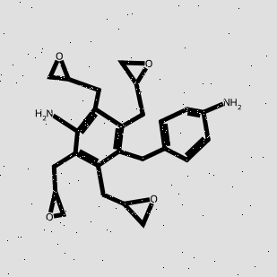 Nc1ccc(Cc2c(CC3CO3)c(CC3CO3)c(N)c(CC3CO3)c2CC2CO2)cc1